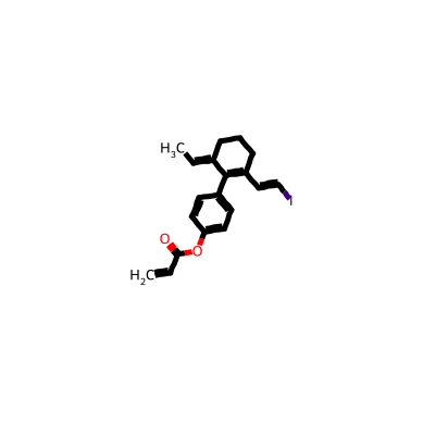 C=CC(=O)Oc1ccc(C2=C(/C=C/I)CCC/C2=C\C)cc1